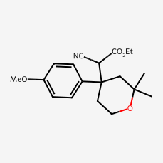 CCOC(=O)C(C#N)C1(c2ccc(OC)cc2)CCOC(C)(C)C1